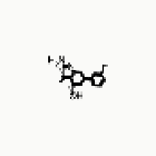 Cc1nc(N)nc2c1/C(=N/O)CC(c1cccc(F)c1)C2